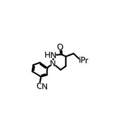 CC(C)CC1CCN(c2cccc(C#N)c2)NC1=O